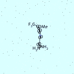 COc1cc(C(=O)Oc2ccc(/C=C/C(=O)OCCCCCCOC(=O)c3cc(N)cc(N)c3)cc2)ccc1OCCCCC(F)(F)F